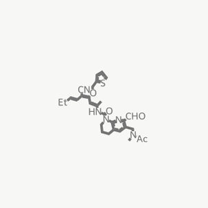 CC/C=C/C(C#N)=C(\C=C(/C)NC(=O)N1CCCc2cc(CN(C)C(C)=O)c(C=O)nc21)OCc1cccs1